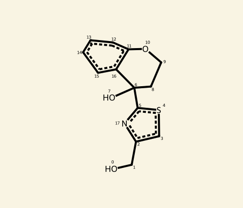 OCc1csc(C2(O)CCOc3ccccc32)n1